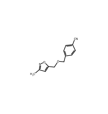 Cc1cc(COCc2ccc(C#N)cc2)on1